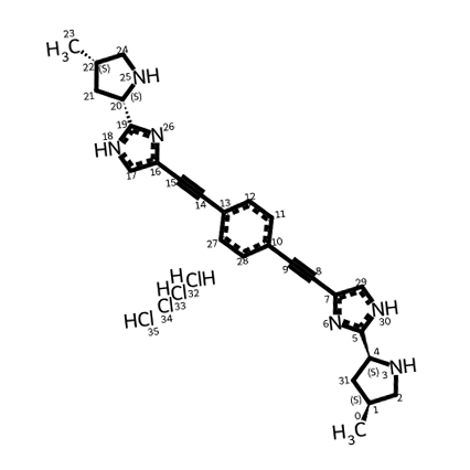 C[C@@H]1CN[C@H](c2nc(C#Cc3ccc(C#Cc4c[nH]c([C@@H]5C[C@H](C)CN5)n4)cc3)c[nH]2)C1.Cl.Cl.Cl.Cl